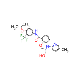 Cc1ccc(N2c3cccc(C(=O)Nc4ccc(OC(C)C)c(C(F)(F)F)c4)c3OCC2CO)nc1